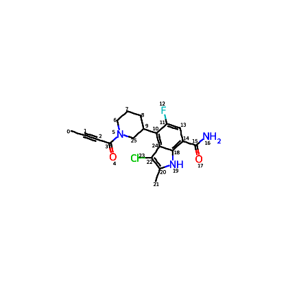 CC#CC(=O)N1CCCC(c2c(F)cc(C(N)=O)c3[nH]c(C)c(Cl)c23)C1